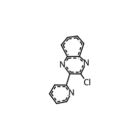 Clc1nc2ccccc2nc1-c1ccccn1